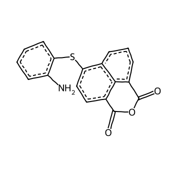 Nc1ccccc1Sc1ccc2c3c(cccc13)C(=O)OC2=O